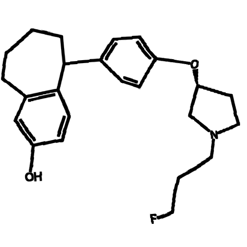 Oc1ccc2c(c1)CCCCC2c1ccc(O[C@H]2CCN(CCCF)C2)cc1